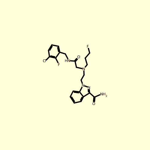 NC(=O)c1nn(CCN(CCCF)CC(=O)NCc2cccc(Cl)c2F)c2ccccc12